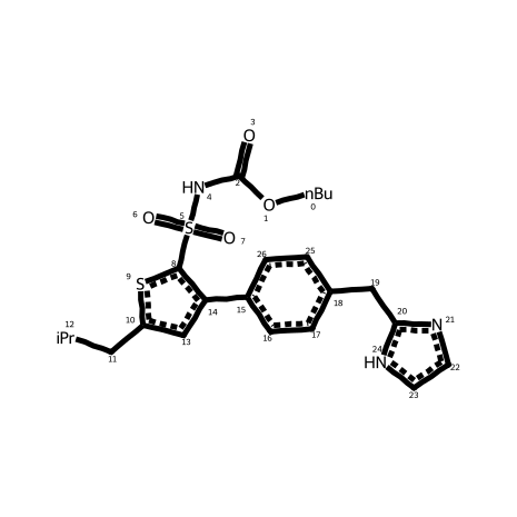 CCCCOC(=O)NS(=O)(=O)c1sc(CC(C)C)cc1-c1ccc(Cc2ncc[nH]2)cc1